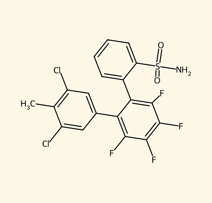 Cc1c(Cl)cc(-c2c(F)c(F)c(F)c(F)c2-c2ccccc2S(N)(=O)=O)cc1Cl